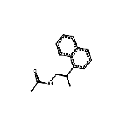 CC(=O)NCC(C)c1cccc2ccccc12